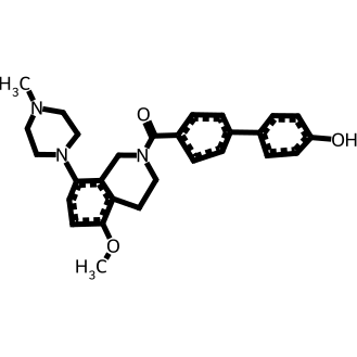 COc1ccc(N2CCN(C)CC2)c2c1CCN(C(=O)c1ccc(-c3ccc(O)cc3)cc1)C2